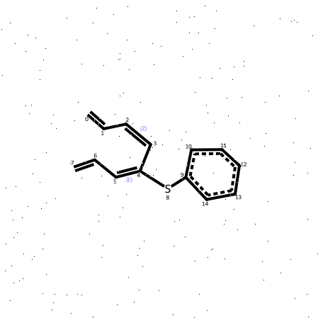 C=C/C=C\C(=C/C=C)Sc1ccccc1